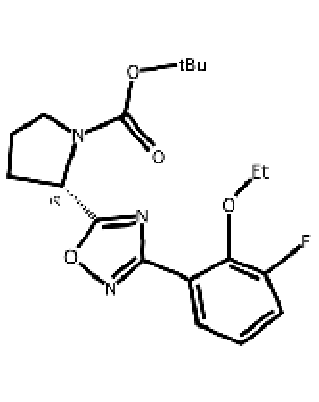 CCOc1c(F)cccc1-c1noc([C@@H]2CCCN2C(=O)OC(C)(C)C)n1